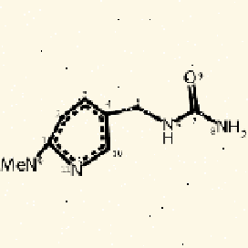 CNc1ccc(CNC(N)=O)cn1